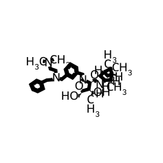 C[C@@H]1[C@@H](NC(=O)[C@@H]2[C@H]([C@H](C)O)[C@H](CO)ON2Cc2cccc(CN(CCc3ccccc3)CCN(C)C)c2)C[C@H]2C[C@@H]1C2(C)C